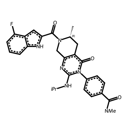 CNC(=O)c1ccc(-n2c(NC(C)C)nc3c(c2=O)C[C@@H](C)N(C(=O)c2cc4c(F)cccc4[nH]2)C3)cc1